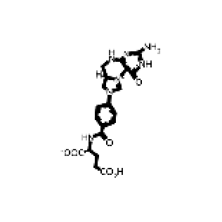 Nc1nc2c(c(=O)[nH]1)[N+]1=CN(c3ccc(C(=O)N[C@@H](CCC(=O)O)C(=O)[O-])cc3)C[C@H]1CN2